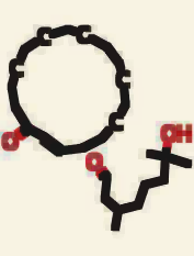 CC(CC=O)CCCC(C)(C)O.O=C1C=CCCCCCCCCCCCCCC1